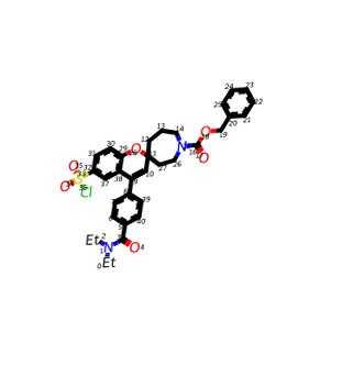 CCN(CC)C(=O)c1ccc(C2=CC3(CCCN(C(=O)OCc4ccccc4)CC3)Oc3ccc(S(=O)(=O)Cl)cc32)cc1